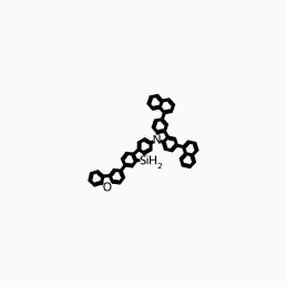 c1ccc2c(-c3ccc4c(c3)c3cc(-c5cccc6ccccc56)ccc3n4-c3ccc4c(c3)[SiH2]c3cc(-c5ccc6oc7ccccc7c6c5)ccc3-4)cccc2c1